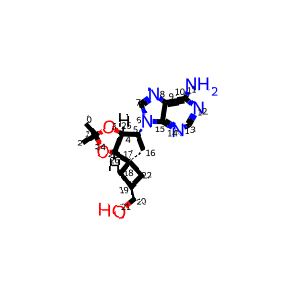 CC1(C)O[C@H]2[C@H](n3cnc4c(N)ncnc43)C[C@]3(C[C@H](CO)C3)[C@H]2O1